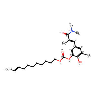 CCCCCCCC/C=C/CCCCCCCCOC(=O)Oc1cc(/C=C(\C#N)C(=O)N(CC)CC)cc([N+](=O)[O-])c1O